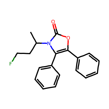 CC(CCF)n1c(-c2ccccc2)c(-c2ccccc2)oc1=O